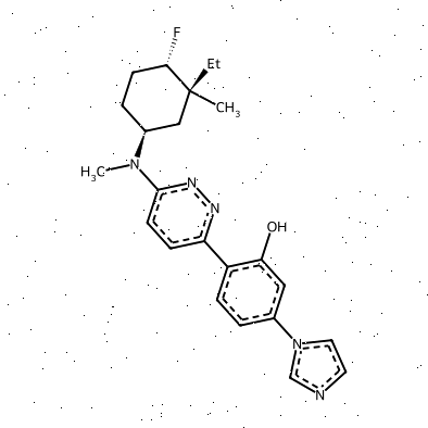 CC[C@@]1(C)C[C@@H](N(C)c2ccc(-c3ccc(-n4ccnc4)cc3O)nn2)CC[C@@H]1F